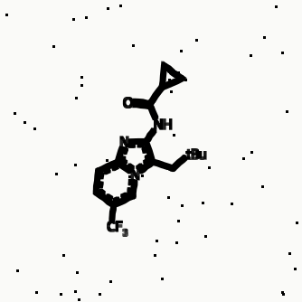 CC(C)(C)Cc1c(NC(=O)C2CC2)nc2ccc(C(F)(F)F)cn12